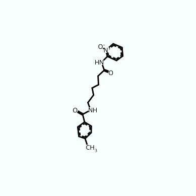 Cc1ccc(C(=O)NCCCCCC(=O)Nc2cccc[n+]2[O-])cc1